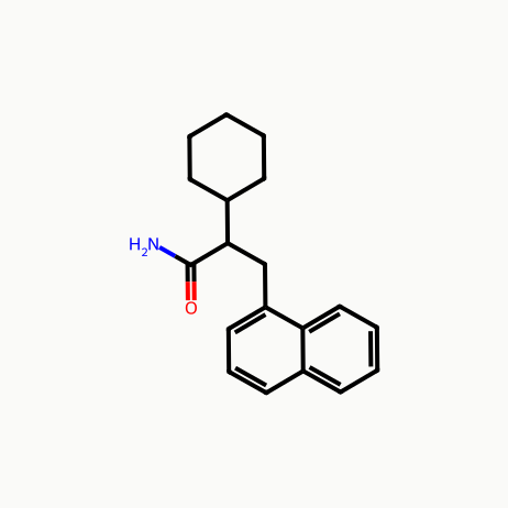 NC(=O)C(Cc1cccc2ccccc12)C1CCCCC1